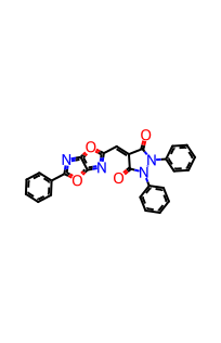 O=C1C(=Cc2nc3oc(-c4ccccc4)nc3o2)C(=O)N(c2ccccc2)N1c1ccccc1